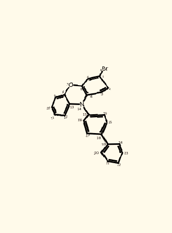 Brc1ccc2c(c1)Oc1ccccc1N2c1ccc(-c2ccccc2)cc1